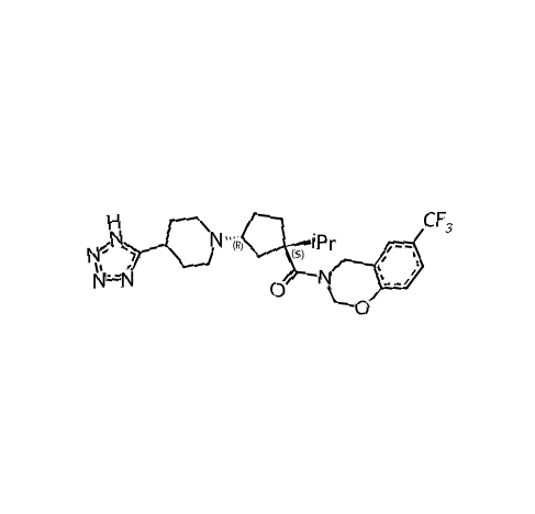 CC(C)[C@]1(C(=O)N2COc3ccc(C(F)(F)F)cc3C2)CC[C@@H](N2CCC(c3nnn[nH]3)CC2)C1